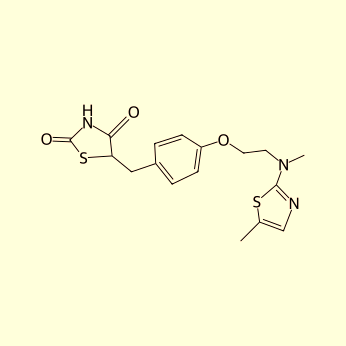 Cc1cnc(N(C)CCOc2ccc(CC3SC(=O)NC3=O)cc2)s1